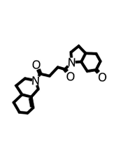 O=C1CCC2CCN(C(=O)CCC(=O)N3CCC4CCCC=C4C3)C2C1